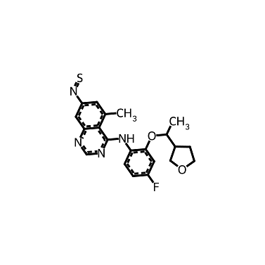 Cc1cc(N=S)cc2ncnc(Nc3ccc(F)cc3OC(C)C3CCOC3)c12